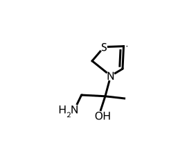 CC(O)(CN)N1C=[C]SC1